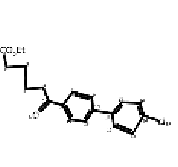 CCOC(=O)CCCCC(=O)c1ccc(-c2ccc(Cl)cc2)cc1